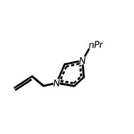 C=CC[n+]1ccn(CCC)c1